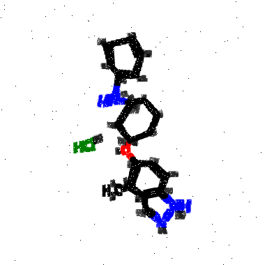 Cc1c(O[C@@H]2CCC[C@H](Nc3ccccc3)C2)ccc2[nH]ncc12.Cl